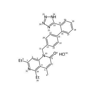 CCc1cc2c(c(C)cc(=O)n2Cc2ccc(-c3ccccc3-c3nnn[nH]3)cc2)c(CC)n1.Cl